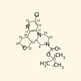 CC(C)(C)OC(=O)N1CCN(c2cc(Cl)cnc2C2CCOCC2)CC1